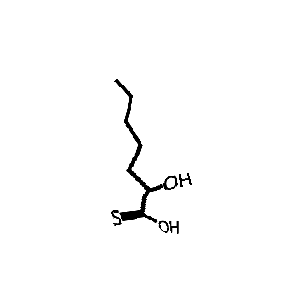 CCCCCC(O)C(O)=S